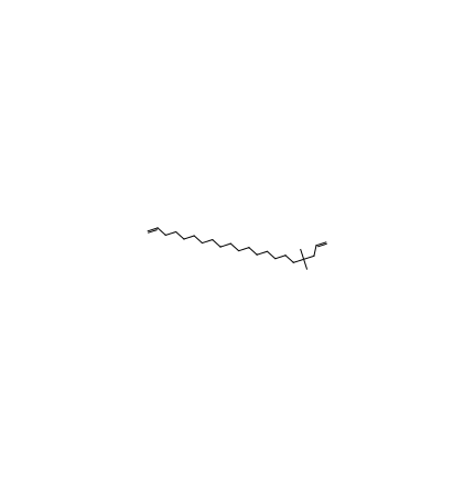 C=CCCCCCCCCCCCCCCCC(C)(C)CC=C